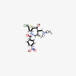 CN(C)C=C1CCN(C(=O)c2ccc([N+](=O)[O-])cc2)c2cc(Cl)sc2C1=O